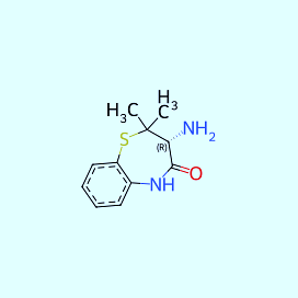 CC1(C)Sc2ccccc2NC(=O)[C@H]1N